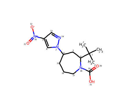 CC(C)(C)C1CC(n2cc([N+](=O)[O-])cn2)CCCN1C(=O)O